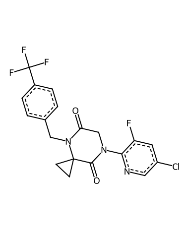 O=C1CN(c2ncc(Cl)cc2F)C(=O)C2(CC2)N1Cc1ccc(C(F)(F)F)cc1